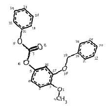 COc1ccc(OC(=O)Oc2ccccc2)cc1OCc1ccccc1